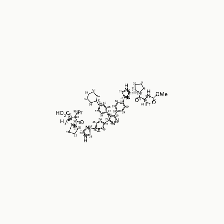 COC(=O)N[C@H](C(=O)N1CCC[C@H]1c1nc(-c2ccc(-c3nnc(-c4ccc(-c5c[nH]c([C@@H]6CCCN6C(=O)[C@H](C(C)C)N(C)C(=O)O)n5)cc4)n3-c3ccc(C4CCCCC4)cc3)cc2)c[nH]1)C(C)C